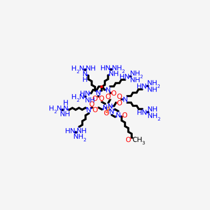 CC(=O)CCCCCCC(=O)N1CCN(P(=O)(N(CCOC(=O)N(CCCCCCNC(=N)N)CCCCCCNC(=N)N)CCOC(=O)N(CCCCCCNC(=N)N)CCCCCCNC(=N)N)N(CCOC(=O)N(CCCCCCNC(=N)N)CCCCCCNC(=N)N)CCOC(=O)N(CCCCCCNC(=N)N)CCCCCCNC(=N)N)CC1